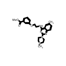 COC(=O)c1cccc(OCCNc2nc(N3CCN(C)CC3)nc3ccc(C)cc23)c1